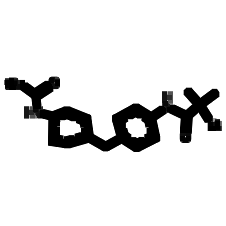 CCC(C)(C)C(=O)Nc1ccc(Cc2ccc(NC(=O)C(C)(C)C)cc2)cc1